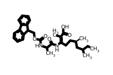 CCC(C)C[C@H](C)CCC(NC(=O)C(C)NC(=O)OCC1c2ccccc2-c2ccccc21)=C(C)C(=O)O